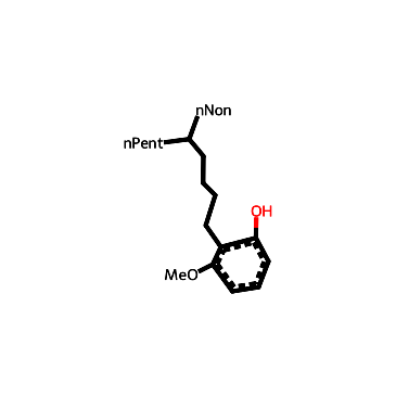 CCCCCCCCCC(CCCCC)CCCCc1c(O)cccc1OC